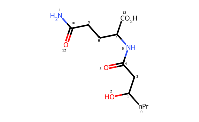 CCCC(O)CC(=O)NC(CCC(N)=O)C(=O)O